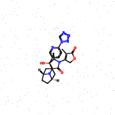 CC1=C(N2C(=O)C3(C[C@H]4CC[C@H](C3)N4CC(O)c3ccc(-n4cnnn4)nc3)C[C@H]2C)COC1=O